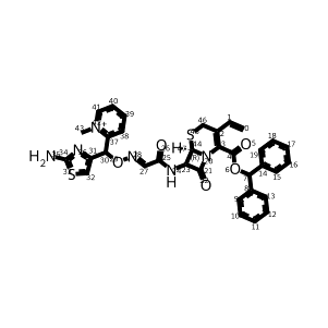 C=CC1=C(C(=O)OC(c2ccccc2)c2ccccc2)N2C(=O)C(NC(=O)C=NOC(c3csc(N)n3)c3cccc[n+]3C)[C@H]2SC1